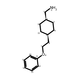 NC[C@H]1CC[C@@H](CCOc2ccccc2)CC1